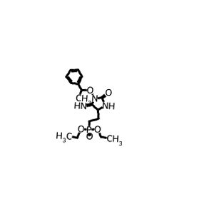 CCOP(=O)(CCC1NC(=O)N(OC(C)c2ccccc2)C1=N)OCC